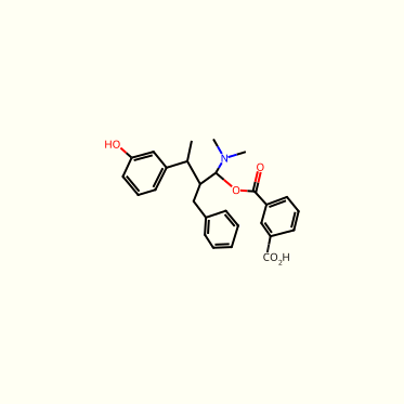 CC(c1cccc(O)c1)C(Cc1ccccc1)C(OC(=O)c1cccc(C(=O)O)c1)N(C)C